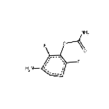 NC(=O)Oc1c(F)ccc(N)c1F